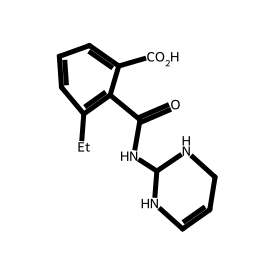 CCc1cccc(C(=O)O)c1C(=O)NC1NC=CCN1